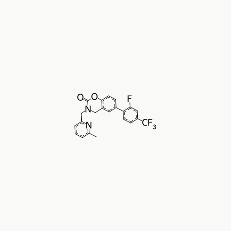 Cc1cccc(CN2Cc3cc(-c4ccc(C(F)(F)F)cc4F)ccc3OC2=O)n1